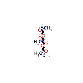 C/C(=C\C(=O)OCCC(=O)N(C)C)C(=O)OCCC(=O)N(C)C